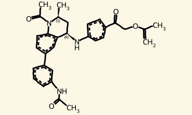 C=C(C)OCC(=O)c1ccc(N[C@@H]2C[C@H](C)N(C(C)=O)c3ccc(-c4cccc(NC(C)=O)c4)cc32)cc1